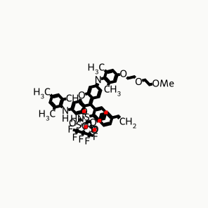 C=Cc1ccc(OS(=O)(=O)C(F)(F)C(F)(F)C(F)(F)S(=O)(=O)NS(=O)(=O)c2ccccc2-c2c3cc/c(=N\c4c(C)cc(OCCOCCOC)cc4C)cc-3oc3cc(Nc4c(C)cc(C)cc4C)ccc23)cc1